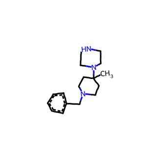 CC1(N2CCNCC2)CCN(Cc2ccccc2)CC1